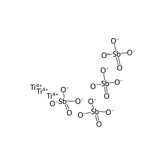 [O]=[Sb]([O-])([O-])[O-].[O]=[Sb]([O-])([O-])[O-].[O]=[Sb]([O-])([O-])[O-].[O]=[Sb]([O-])([O-])[O-].[Ti+4].[Ti+4].[Ti+4]